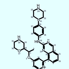 CC(Oc1ccnc(-c2cccc3cnc(Nc4ccc(N5CCNCC5)cc4)nc23)c1)C1CNCCO1